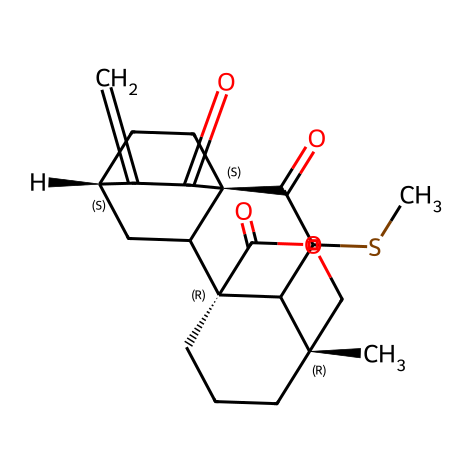 C=C1C(=O)[C@]23CC[C@H]1CC2[C@@]12CCC[C@@](C)(COC1=O)C2C(SC)C3=O